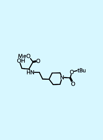 COC(=O)C(CO)NCCC1CCN(C(=O)OC(C)(C)C)CC1